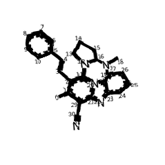 Cc1c(/C=C/c2ccccc2)c(N2CCCC2N(C)C)n2c(nc3ccccc32)c1C#N